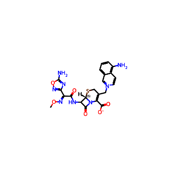 CON=C(C(=O)NC1C(=O)N2C(C(=O)[O-])=C(C[n+]3ccc4c(N)cccc4c3)CS[C@@H]12)c1noc(N)n1